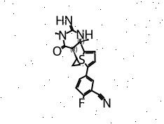 CN1C(=N)N[C@](C)(c2ccc(-c3ccc(F)c(C#N)c3)s2)[C@@H](C2CC2)C1=O